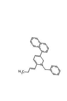 CCC=CC1=CC=C(c2cccc3ccccc23)CN1Cc1ccccc1